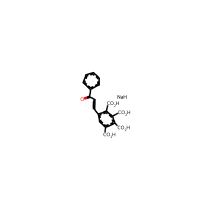 O=C(C=Cc1cc(C(=O)O)c(C(=O)O)c(C(=O)O)c1C(=O)O)c1ccccc1.[NaH]